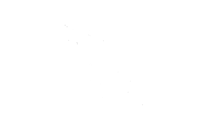 Cc1ccc(Oc2ccnc(C(N)=O)c2)cc1